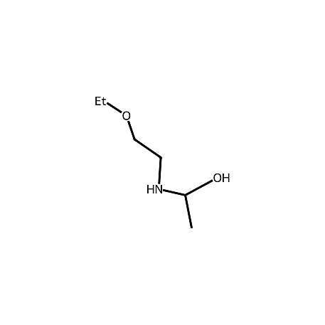 CCOCCNC(C)O